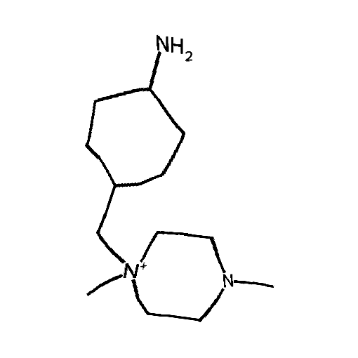 CN1CC[N+](C)(CC2CCC(N)CC2)CC1